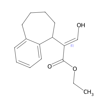 CCOC(=O)/C(=C/O)C1CCCCc2ccccc21